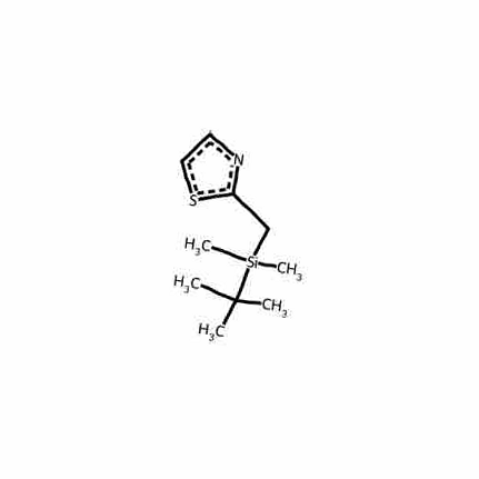 CC(C)(C)[Si](C)(C)Cc1n[c]cs1